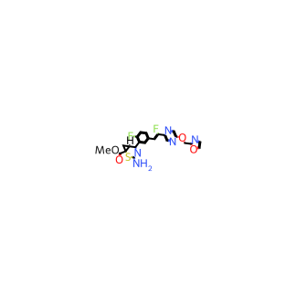 COC(=O)C12C[C@H]1C(c1cc(/C=C(\F)c3cnc(OCc4ncco4)cn3)ccc1F)N=C(N)S2